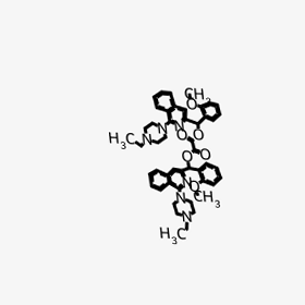 CCN1CCN(c2nc(C(OC(=O)C(=O)OC(c3cc4ccccc4c(N4CCN(CC)CC4)n3)c3ccccc3OC)c3ccccc3OC)cc3ccccc23)CC1